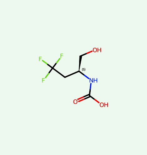 O=C(O)N[C@H](CO)CC(F)(F)F